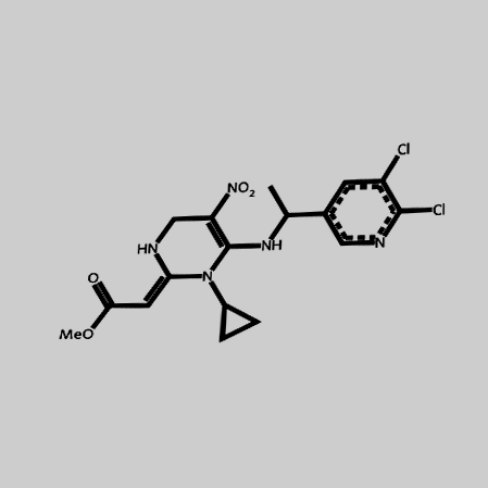 COC(=O)C=C1NCC([N+](=O)[O-])=C(NC(C)c2cnc(Cl)c(Cl)c2)N1C1CC1